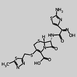 Cc1nnc(CSC2=C(C(=O)O)N3C(=O)[C@@H](NC(=O)/C(=N\O)c4csc(N)n4)[C@H]3SC2)s1